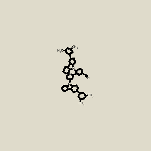 Cc1cc(C)cc(-c2ccc3c(c2)c2ccccc2n3-c2ccnc(-c3cc(C#N)ccc3-n3c4ccccc4c4cc(-c5cc(C)cc(C)c5)ccc43)c2)c1